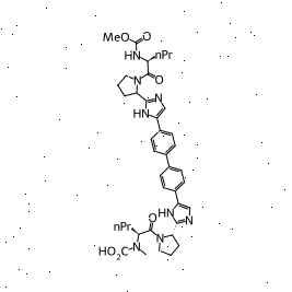 CCC[C@H](NC(=O)OC)C(=O)N1CCCC1c1ncc(-c2ccc(-c3ccc(-c4cnc([C@@H]5CCCN5C(=O)[C@H](CCC)N(C)C(=O)O)[nH]4)cc3)cc2)[nH]1